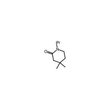 CC(C)N1CCC(C)(C)CC1=O